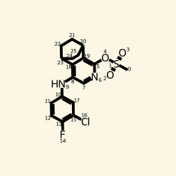 CS(=O)(=O)Oc1ncc(Nc2ccc(F)c(Cl)c2)c2c1C1CCC2CC1